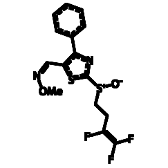 CO/N=C\c1sc([S+]([O-])CCC(F)=C(F)F)nc1-c1ccccc1